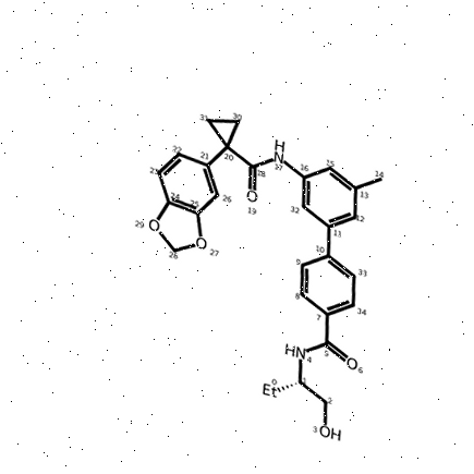 CC[C@@H](CO)NC(=O)c1ccc(-c2cc(C)cc(NC(=O)C3(c4ccc5c(c4)OCO5)CC3)c2)cc1